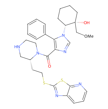 COC[C@]1(O)CCCC[C@H]1n1cnc(C(=O)N2CCNC[C@H]2CCSc2nc3cccnc3s2)c1-c1ccccc1